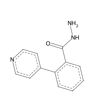 NNC(=O)c1ccccc1-c1ccncc1